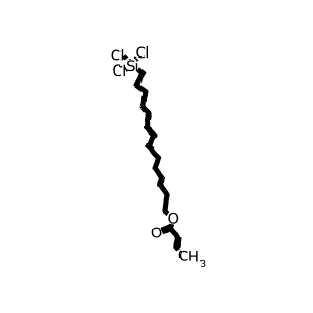 CC=CC(=O)OCCCCCCCCCCCCCC[Si](Cl)(Cl)Cl